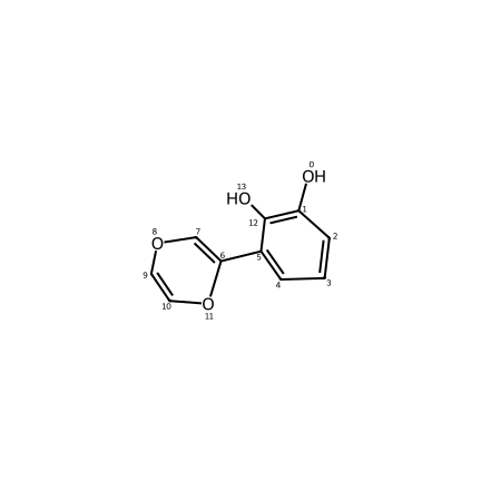 Oc1cccc(C2=COC=CO2)c1O